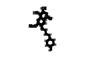 COc1cc2c(O)c(C#N)c[n+]([O-])c2cc1OCCCN1CCN(C)CC1